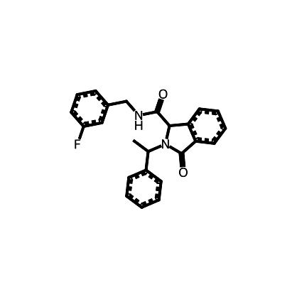 CC(c1ccccc1)N1C(=O)c2ccccc2C1C(=O)NCc1cccc(F)c1